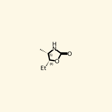 CC[C@H]1OC(=O)N[C@H]1C